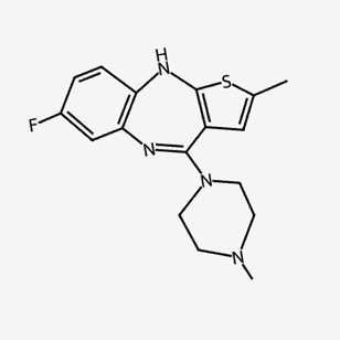 Cc1cc2c(s1)Nc1ccc(F)cc1N=C2N1CCN(C)CC1